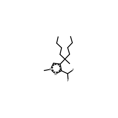 CCCCC(C)(CCCC)c1cn(C)nc1C(F)F